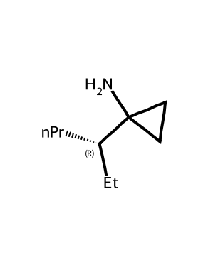 CCC[C@@H](CC)C1(N)CC1